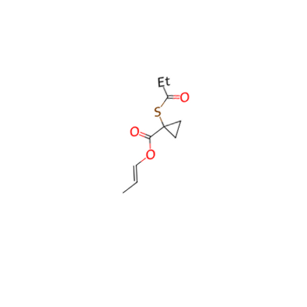 CC=COC(=O)C1(SC(=O)CC)CC1